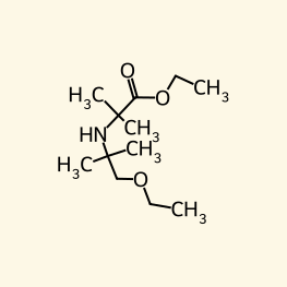 CCOCC(C)(C)NC(C)(C)C(=O)OCC